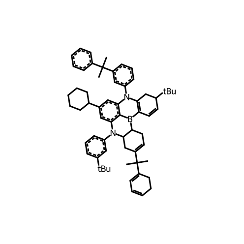 CC(C)(C1=CC=CCC1)C1=CCC2B3C4=C(CC(C(C)(C)C)C=C4)N(c4cccc(C(C)(C)c5ccccc5)c4)c4cc(C5CCCCC5)cc(c43)N(c3cccc(C(C)(C)C)c3)C2C1